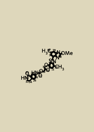 COc1cnc2c(-c3nc4c(C)cc5c(c4s3)OCC(COC(=O)Nc3ccc4c(c3)C(=O)NCC4)O5)cc(C)cc2n1